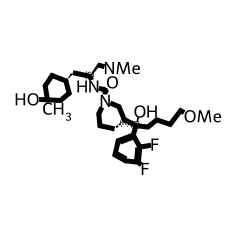 CNC[C@H](C[C@H]1CC[C@](C)(O)CC1)NC(=O)N1CCC[C@@H]([C@@](O)(CCCCOC)c2cccc(F)c2F)C1